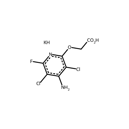 Nc1c(Cl)c(F)nc(OCC(=O)O)c1Cl.[KH]